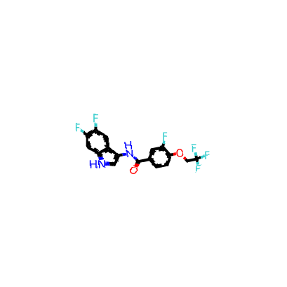 O=C(Nc1c[nH]c2cc(F)c(F)cc12)c1ccc(OCC(F)(F)F)c(F)c1